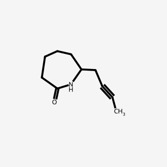 CC#CCC1CCCCC(=O)N1